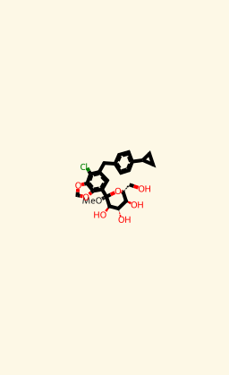 COC1(c2cc(Cc3ccc(C4CC4)cc3)c(Cl)c3c2OCO3)O[C@H](CO)[C@@H](O)[C@H](O)[C@H]1O